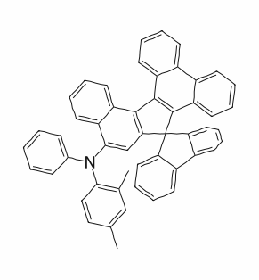 Cc1ccc(N(c2ccccc2)c2cc3c(c4ccccc24)-c2c(c4ccccc4c4ccccc24)C32c3ccccc3-c3ccccc32)c(C)c1